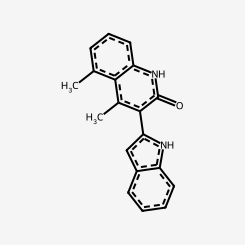 Cc1cccc2[nH]c(=O)c(-c3cc4ccccc4[nH]3)c(C)c12